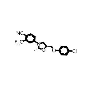 C[C@H]1O[C@H](COc2ccc(Cl)cc2)CN1c1ccc(C#N)c(C(F)(F)F)c1